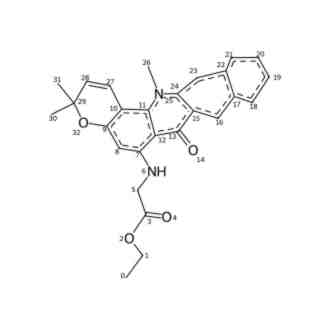 CCOC(=O)CNc1cc2c(c3c1c(=O)c1cc4ccccc4cc1n3C)C=CC(C)(C)O2